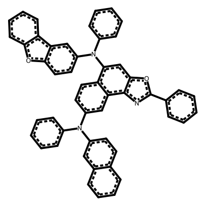 c1ccc(-c2nc3c(cc(N(c4ccccc4)c4ccc5oc6ccccc6c5c4)c4ccc(N(c5ccccc5)c5ccc6ccccc6c5)cc43)o2)cc1